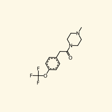 CN1CCN(C(=O)Cc2ccc(OC(F)(F)F)cc2)CC1